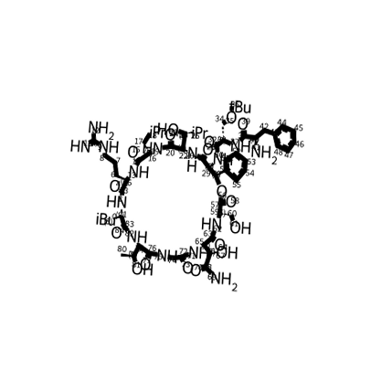 CC[C@H](C)[C@@H]1NC(=O)[C@@H](CCCNC(=N)N)NC(=O)[C@H](CC(C)C)NC(=O)[C@H]([C@H](O)C(C)C)NC(=O)[C@@H](NC(=O)[C@H](COC(C)(C)C)NC(=O)[C@H](N)Cc2ccccc2)[C@@H](c2ccccc2)OC(=O)[C@H](CO)NC(=O)[C@H]([C@H](O)C(N)=O)NC(=O)CNC(=O)[C@H]([C@H](C)O)NC1=O